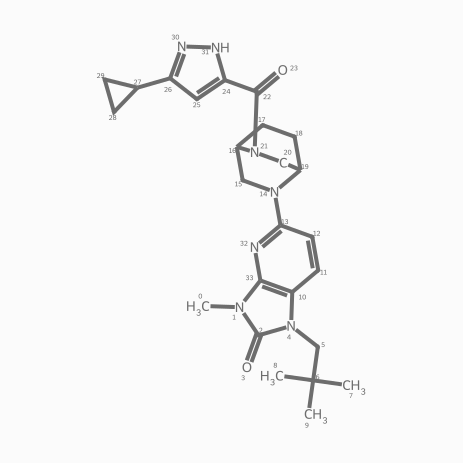 Cn1c(=O)n(CC(C)(C)C)c2ccc(N3CC4CCC3CN4C(=O)c3cc(C4CC4)n[nH]3)nc21